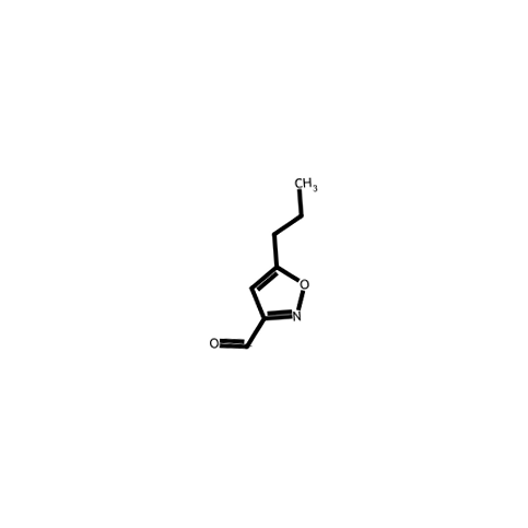 CCCc1cc([C]=O)no1